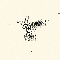 N#Cc1cn([C@@H]2O[C@H](CO)[C@@H](O)[C@H]2O)c(=O)[nH]c1=O.O=P(O)(O)O.O=P(O)(O)O.O=P(O)(O)O